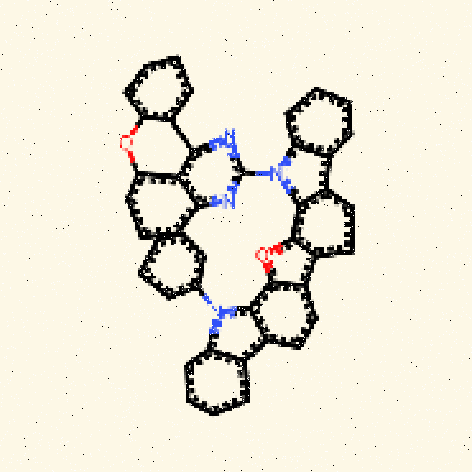 c1ccc(-n2c3ccccc3c3ccc4c5ccc6c7ccccc7n(-c7nc8c9c(cccc9n7)Oc7ccccc7-8)c6c5oc4c32)cc1